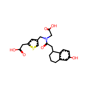 O=C(O)Cc1cc(CN(CC(=O)O)C(=O)CC2CCCc3cc(O)ccc32)cs1